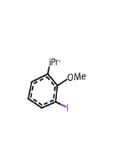 COc1c(I)cccc1[C](C)C